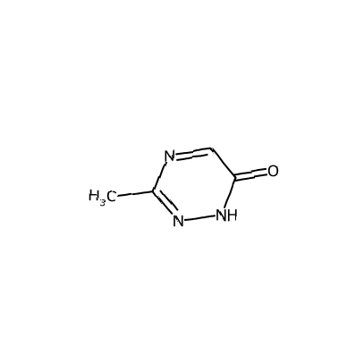 Cc1ncc(=O)[nH]n1